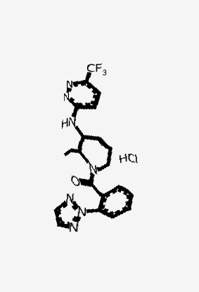 CC1C(Nc2ccc(C(F)(F)F)nn2)CCCN1C(=O)c1ccccc1-n1nccn1.Cl